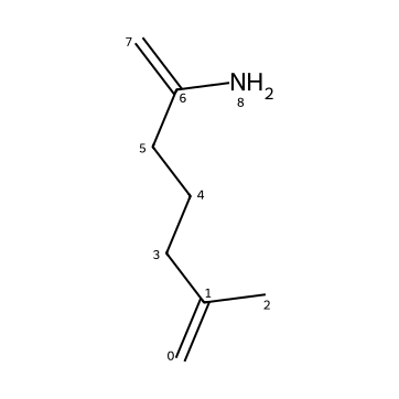 C=C(C)CCCC(=C)N